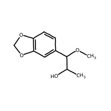 COC(c1ccc2c(c1)OCO2)C(C)O